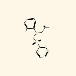 O=C(O)CC(NS(=O)(=O)c1ccccc1)c1ccccc1F